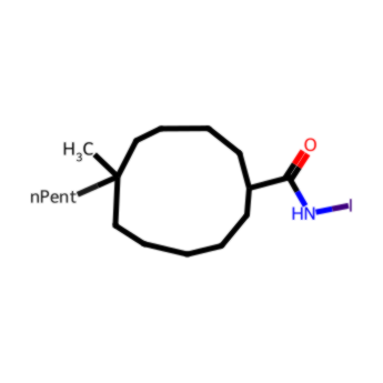 CCCCCC1(C)CCCCCC(C(=O)NI)CCCC1